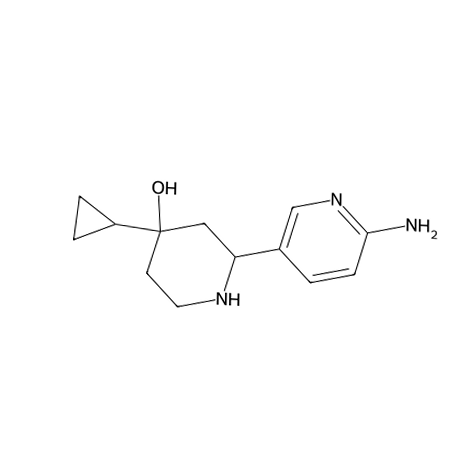 Nc1ccc(C2CC(O)(C3CC3)CCN2)cn1